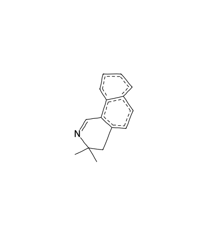 CC1(C)Cc2ccc3ccccc3c2C=N1